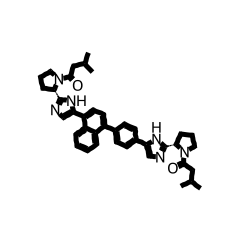 CC(C)CC(=O)N1CCC[C@H]1c1ncc(-c2ccc(-c3ccc(-c4cnc([C@@H]5CCCN5C(=O)CC(C)C)[nH]4)c4ccccc34)cc2)[nH]1